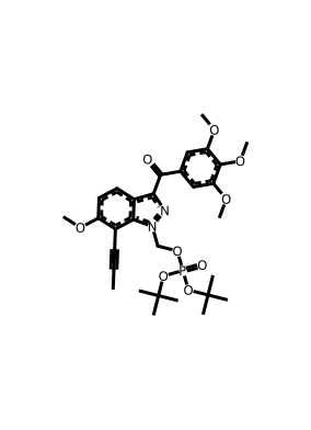 CC#Cc1c(OC)ccc2c(C(=O)c3cc(OC)c(OC)c(OC)c3)nn(COP(=O)(OC(C)(C)C)OC(C)(C)C)c12